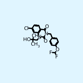 CC(C)(O)Cn1c(=O)n(Cc2ccc(OC(F)F)cc2)c(=O)c2ccc(Cl)cc21